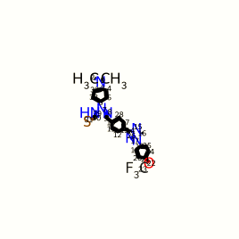 CN(C)c1ccc(N(/N=C/c2ccc(-c3ncn(-c4ccc(OC(F)(F)F)cc4)n3)cc2)NC=S)cc1